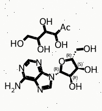 CC(=O)C(O)C(O)C(O)CO.Nc1ncnc2c1ncn2[C@@H]1O[C@H](CO)[C@@H](O)[C@H]1O